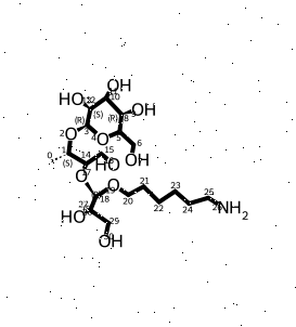 C[C@H](O[C@@H]1OC(CO)[C@H](O)C(O)[C@@H]1O)C(CO)O[C@@H](OCCCCCCN)[C@@H](O)CO